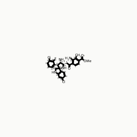 COC(=O)c1ccc(C(=O)C[C@@H]2N[C@@]3(C(=O)Nc4cc(Cl)ccc43)[C@@H](c3cccc(Cl)c3F)[C@@H]2N)c(N)c1C